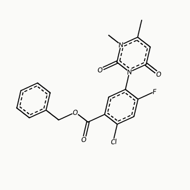 Cc1cc(=O)n(-c2cc(C(=O)OCc3ccccc3)c(Cl)cc2F)c(=O)n1C